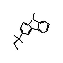 CCC(C)(C)c1ccc2c(c1)c1ncccc1n2C